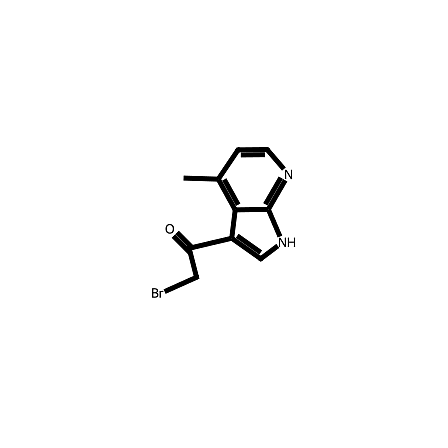 Cc1ccnc2[nH]cc(C(=O)CBr)c12